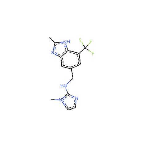 Cc1nc2cc(CNc3nccn3C)cc(C(F)(F)F)c2[nH]1